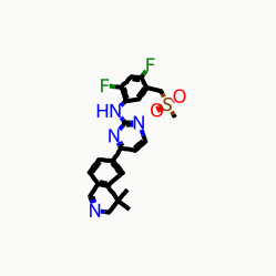 CC1(C)CN=Cc2ccc(-c3ccnc(Nc4cc(CS(C)(=O)=O)c(F)cc4F)n3)cc21